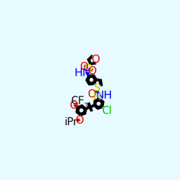 CC(C)Oc1cc(OC(F)(F)F)cc(C(C)(C)c2cc(Cl)cc(NC(=O)[SH]3C=Cc4cc(NS(=O)(=O)C5CCOC5)ccc43)c2)c1